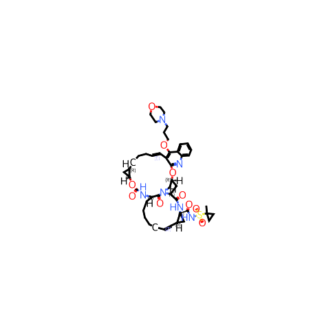 CC1(S(=O)(=O)NC(=O)[C@@]23C[C@H]2/C=C\CCCCC[C@@H]2NC(=O)O[C@@H]4C[C@H]4CCC/C=C/c4c(nc5ccccc5c4OCCCN4CCOCC4)O[C@@H]4C[C@@H](C(=O)N3)N(C4)C2=O)CC1